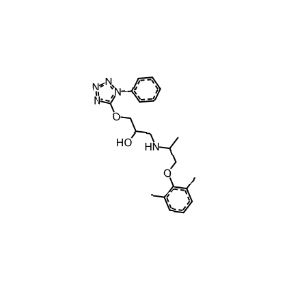 Cc1cccc(C)c1OCC(C)NCC(O)COc1nnnn1-c1ccccc1